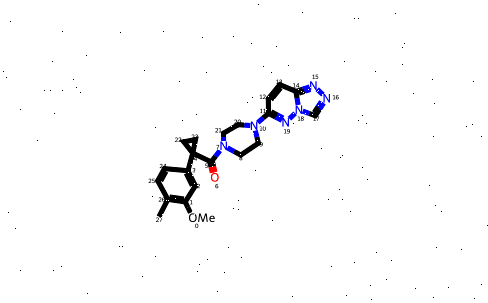 COc1cc(C2(C(=O)N3CCN(c4ccc5nncn5n4)CC3)CC2)ccc1C